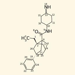 CC[C@]12CC3CC1(C(=O)NC1CCC(=N)CC1)C[C@@](c1ccccc1)(C3)C2